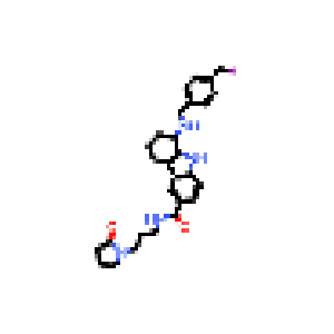 O=C(NCCCN1CCCC1=O)c1ccc2[nH]c3c(c2c1)CCCC3NCc1ccc(CI)cc1